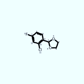 Fc1ccc(C2OCCO2)c(Cl)c1